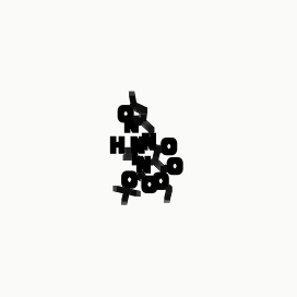 CCOC(=O)C(C(=O)N(N)Cc1cc(C)on1)N(I)C(=O)OC(C)(C)C